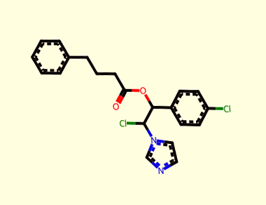 O=C(CCCc1ccccc1)OC(c1ccc(Cl)cc1)C(Cl)n1ccnc1